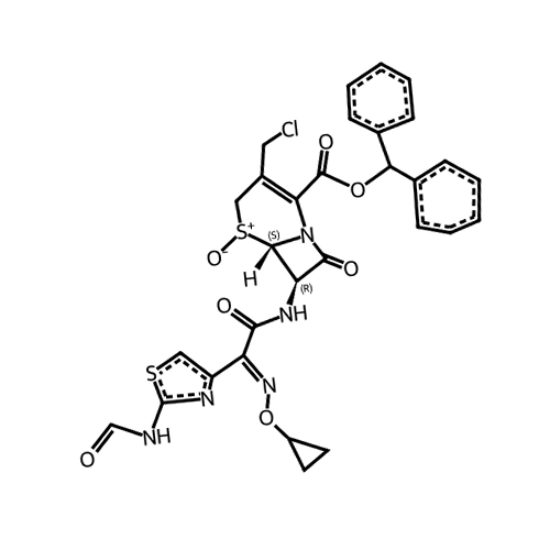 O=CNc1nc(C(=NOC2CC2)C(=O)N[C@@H]2C(=O)N3C(C(=O)OC(c4ccccc4)c4ccccc4)=C(CCl)C[S+]([O-])[C@@H]23)cs1